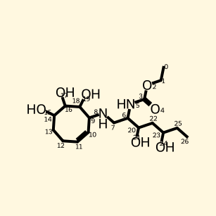 CCOC(=O)NC(CNC1/C=C\CCC(O)C(O)C1O)C(O)CC(O)CC